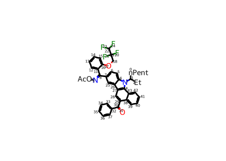 CCCCCC(CC)n1c2ccc(/C(=N/OC(C)=O)c3ccccc3OCC(F)(F)C(F)F)cc2c2cc(C(=O)c3ccccc3)c3ccccc3c21